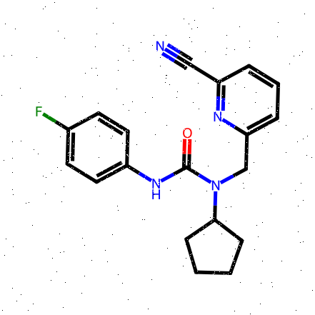 N#Cc1cccc(CN(C(=O)Nc2ccc(F)cc2)C2CCCC2)n1